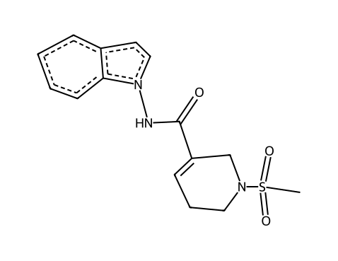 CS(=O)(=O)N1CCC=C(C(=O)Nn2ccc3ccccc32)C1